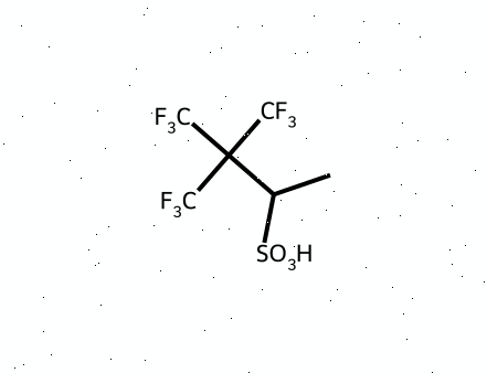 CC(C(C(F)(F)F)(C(F)(F)F)C(F)(F)F)S(=O)(=O)O